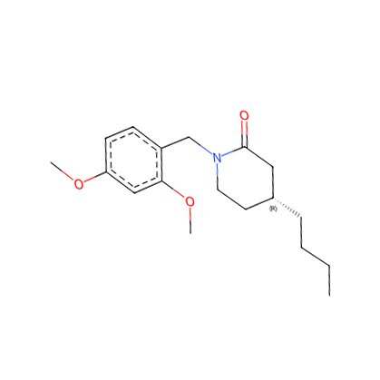 CCCC[C@@H]1CCN(Cc2ccc(OC)cc2OC)C(=O)C1